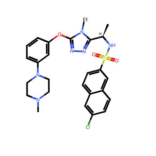 CCn1c(Oc2cccc(N3CCN(C)CC3)c2)nnc1[C@@H](C)NS(=O)(=O)c1ccc2cc(Cl)ccc2c1